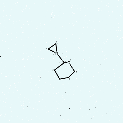 C1CCC(N2CC2)OC1